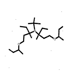 CCC(C)OCCC(C)(CC)N(C(C)(C)C)C(C)(CC)CCOC(C)CC